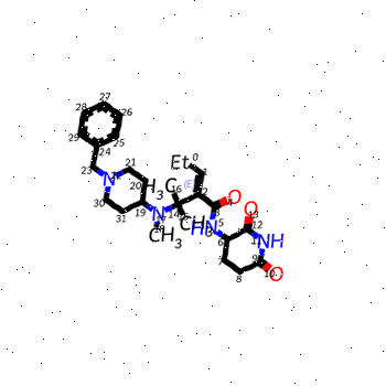 CC/C=C(/C(=O)NC1CCC(=O)NC1=O)C(C)(C)N(C)C1CCN(Cc2ccccc2)CC1